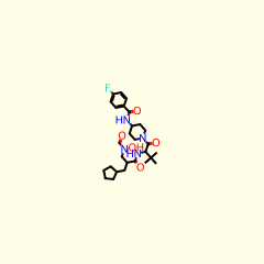 CC(C)(C)C(NC(=O)C(CC1CCCC1)CN(O)C=O)C(=O)N1CCC(NC(=O)c2ccc(F)cc2)CC1